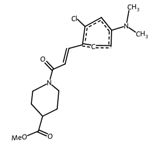 COC(=O)C1CCN(C(=O)C=Cc2ccc(N(C)C)cc2Cl)CC1